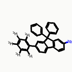 [2H]c1c([2H])c([2H])c(-c2ccc3c(c2)C(c2ccccc2)(c2ccccc2)c2cc(N)ccc2-3)c([2H])c1[2H]